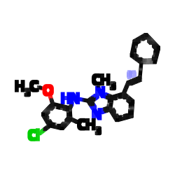 COc1cc(Cl)cc(C)c1Nc1nc2cccc(/C=C/c3ccccc3)c2n1C